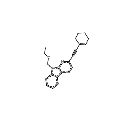 CCOCn1c2ccccc2c2ccc(C#CC3=CCCCC3)nc21